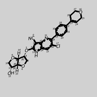 N#Cc1c(O[C@@H]2CO[C@H]3[C@@H]2OC[C@H]3O)[nH]c2cc(Cl)c(-c3ccc(C4=CCOCC4)cc3)nc12